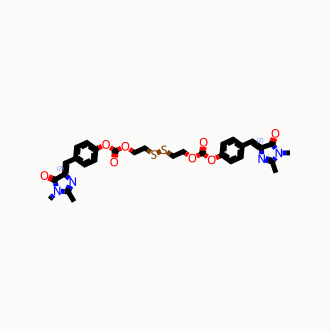 CC1=N/C(=C\c2ccc(OC(=O)OCCSSCCOC(=O)Oc3ccc(/C=C4\N=C(C)N(C)C4=O)cc3)cc2)C(=O)N1C